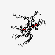 CCOCCOC(=O)c1cccc(OCC(COc2cccc(C(=O)OCCOCC)c2)(COc2cccc(C(=O)OCCOCC)c2)Cn2nc3c(-c4ccc(N(c5ccccc5)c5ccccc5)cc4)c4n[n+](CC(COc5cccc(C(=O)OCCOCC)c5)(COc5cccc(C(=O)OCCOCC)c5)COc5cccc(C(=O)OCCOCC)c5)[n-]c4c(-c4ccc(N(c5ccccc5)c5ccccc5)cc4)c3n2)c1